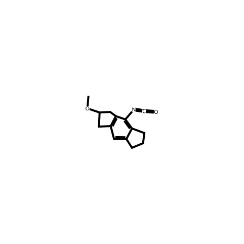 COC1Cc2cc3c(c(N=C=O)c2C1)CCC3